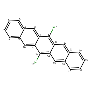 Fc1c2cc3ccccc3cc2c(F)c2cc3ccccc3cc12